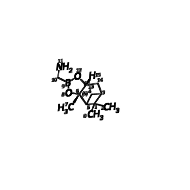 CC1(C)C2CC1[C@]1(C)OB(CN)O[C@@H]1C2